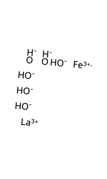 [Fe+3].[La+3].[OH-].[OH-].[OH-].[OH-].[OH-].[OH-]